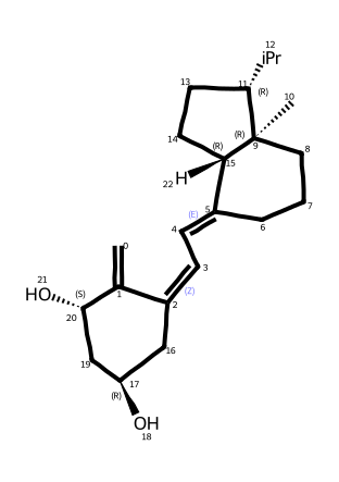 C=C1/C(=C\C=C2/CCC[C@]3(C)[C@@H](C(C)C)CC[C@@H]23)C[C@@H](O)C[C@@H]1O